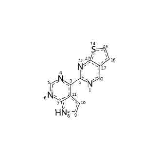 [c]1nc(-c2ncnc3[nH]ccc23)nc2sccc12